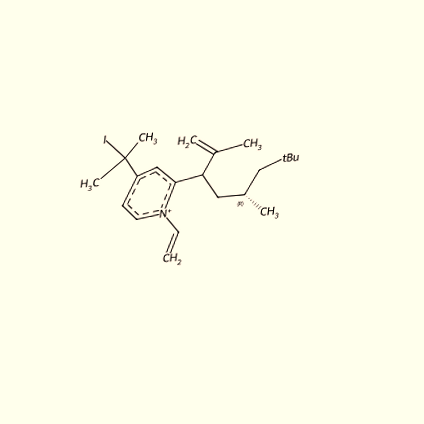 C=C[n+]1ccc(C(C)(C)I)cc1C(C[C@@H](C)CC(C)(C)C)C(=C)C